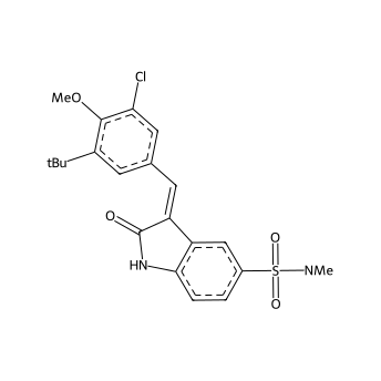 CNS(=O)(=O)c1ccc2c(c1)C(=Cc1cc(Cl)c(OC)c(C(C)(C)C)c1)C(=O)N2